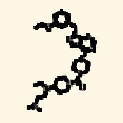 CCOc1cccc(Cn2ncc3c(N4CCN(C(=O)N5CCC(N(CC)CCN(C)C)CC5)CC4)ncnc32)c1